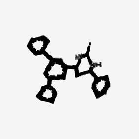 IC1NC(c2ccccc2)CC(c2cc(-c3ccccc3)cc(-c3ccccc3)c2)N1